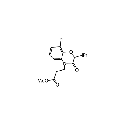 COC(=O)CCN1C(=O)C(C(C)C)Oc2c(Cl)cccc21